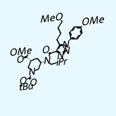 COCCCCc1c(C(=O)N(CC(C)C)[C@H]2C[C@@H](C(=O)OC)CN(C(=O)OC(C)(C)C)C2)nnn1-c1ccc(OC)cc1